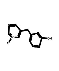 [O-][n+]1cncc(Cc2cccc(O)c2)c1